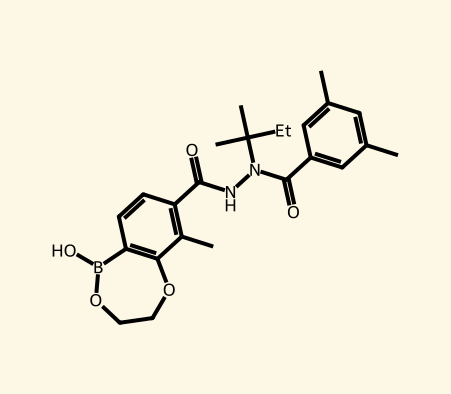 CCC(C)(C)N(NC(=O)c1ccc2c(c1C)OCCOB2O)C(=O)c1cc(C)cc(C)c1